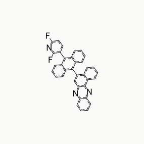 Fc1ccc(-c2c3ccccc3c(-c3cc4nc5ccccc5nc4c4ccccc34)c3ccccc23)c(F)n1